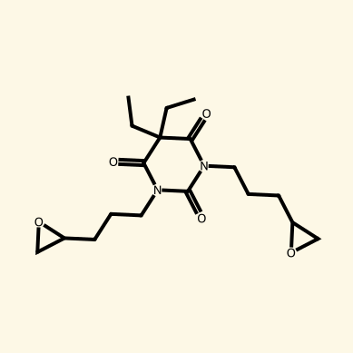 CCC1(CC)C(=O)N(CCCC2CO2)C(=O)N(CCCC2CO2)C1=O